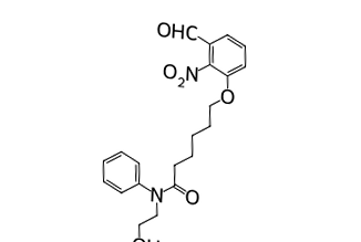 O=Cc1cccc(OCCCCCC(=O)N(CCO)c2ccccc2)c1[N+](=O)[O-]